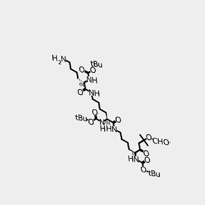 CC(C)(C)OC(=O)N[C@@H](CCCCNC(=O)[C@H](CCCCNC(=O)[C@H](CCCCN)NC(=O)OC(C)(C)C)NC(=O)OC(C)(C)C)C(=O)CC(C)(C)O[C]=O